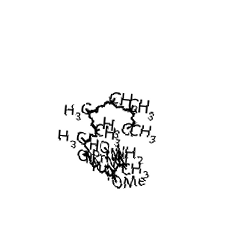 CCCC(CO)Nc1nc(N)nc(C)c1Cc1ccc(CN2CCN(C(=O)CCC(C)=CCCC(C)=CCCC(C)=CCCC=C(C)CC/C=C(\C)CCC=C(C)C)CC2)cc1OC